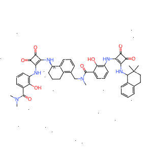 CN(C)C(=O)c1cccc(Nc2c(N[C@@H]3CCCc4c(CN(C)C(=O)c5cccc(Nc6c(NC7c8ccccc8CCC7(C)C)c(=O)c6=O)c5O)cccc43)c(=O)c2=O)c1O